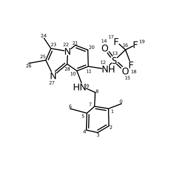 Cc1cccc(C)c1CNc1c(NS(=O)(=O)C(F)(F)F)ccn2c(C)c(C)nc12